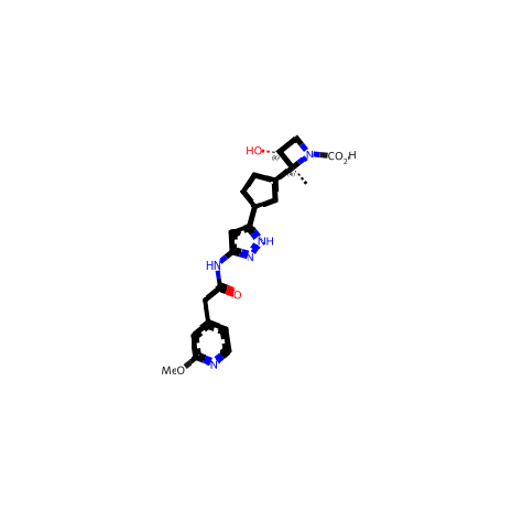 COc1cc(CC(=O)Nc2cc(C3CCC([C@@]4(C)[C@H](O)CN4C(=O)O)C3)[nH]n2)ccn1